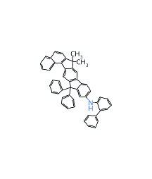 CC1(C)c2cc3c(cc2-c2c1ccc1ccccc21)C(c1ccccc1)(c1ccccc1)c1cc(Nc2ccccc2-c2ccccc2)ccc1-3